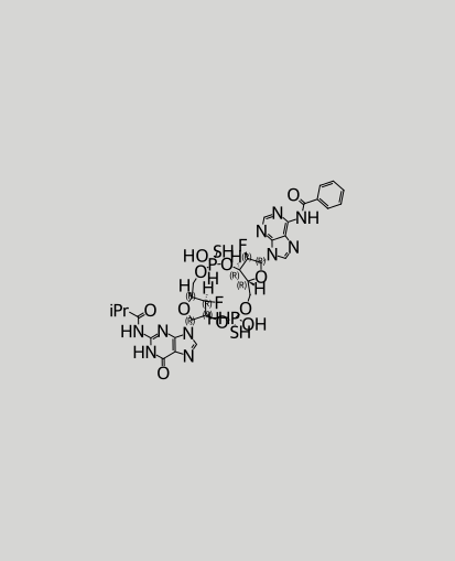 CC(C)C(=O)Nc1nc2c(ncn2[C@@H]2O[C@@H]3CO[PH](O)(S)O[C@H]4[C@@H](F)[C@H](n5cnc6c(NC(=O)c7ccccc7)ncnc65)O[C@@H]4CO[PH](O)(S)O[C@@H]2[C@@H]3F)c(=O)[nH]1